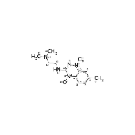 Cc1ccc2c(c1)[n+]([O-])nc(NCCN(C)C)[n+]2[O-]